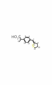 CC(C(=O)O)c1ccc(C=C2CCCS2)cc1